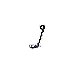 CCCCC/C=C\C/C=C\CCCCCCCCc1ccccc1